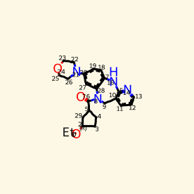 CCO[C@@H]1CCC(C(=O)N2Cc3cccnc3Nc3ccc(N4CCOCC4)cc32)C1